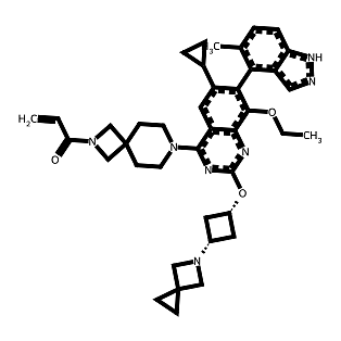 C=CC(=O)N1CC2(CCN(c3nc(O[C@H]4C[C@@H](N5CC6(CC6)C5)C4)nc4c(OCC)c(-c5c(C)ccc6[nH]ncc56)c(C5CC5)cc34)CC2)C1